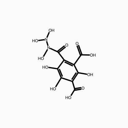 O=C(O)c1c(O)c(O)c(C(=O)N(O)N(O)O)c(C(=O)O)c1O